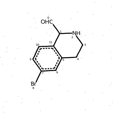 O=CC1NCCc2cc(Br)ccc21